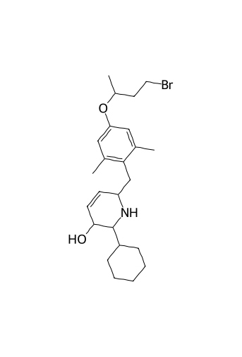 Cc1cc(OC(C)CCBr)cc(C)c1CC1C=CC(O)C(C2CCCCC2)N1